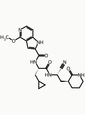 COc1nccc2[nH]c(C(=O)N[C@@H](CC3CC3)C(=O)N[C@H](C#N)C[C@@H]3CCCNC3=O)cc12